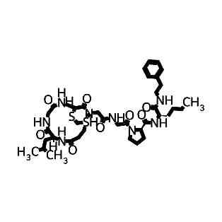 CCCC[C@H](NC(=O)[C@H]1CCCN1C(=O)CNC(=O)CN1C(=O)[C@H]2NC(=O)CNC(=O)[C@H](CC(C)C)NC(=O)CC[SH]1CS2)C(=O)NCCc1ccccc1